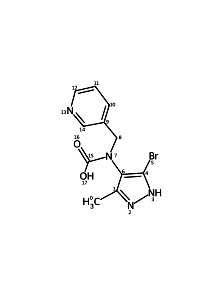 Cc1n[nH]c(Br)c1N(Cc1cccnc1)C(=O)O